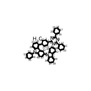 CC1C=C(c2nc(-c3ccccc3)nc(-c3ccccc3)n2)C=CC1c1cccc2c1c1cc(-n3c4ccccc4c4ccccc43)ccc1n2-c1ccccc1